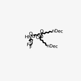 CCCCCCCCCCCCCCCC(=O)OCC(COC(=O)NC1CN(CC(F)F)C1)OC(=O)CCCCCCCCCCCCCCC